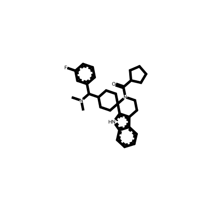 CN(C)C(c1cccc(F)c1)C1CCC2(CC1)c1[nH]c3ccccc3c1CCN2C(=O)C1CCCC1